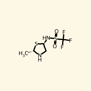 C[C@H]1NC[C@H](NS(=O)(=O)C(F)(F)F)S1